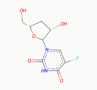 O=c1[nH]c(=O)n(C2O[C@H](CO)C[C@@H]2O)cc1F